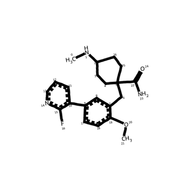 CNC1CCC(Cc2cc(-c3cccnc3F)ccc2OC)(C(N)=O)CC1